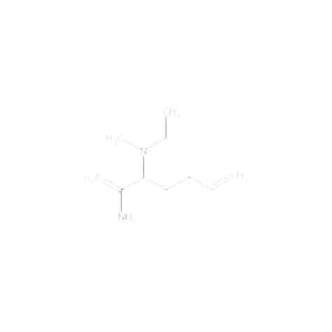 C=CCCC(C(=C)N)N(C)CC